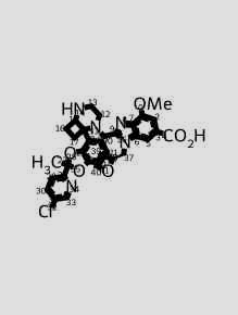 COc1cc(C(=O)O)cc2c1nc(CN1CCNC3CCC31c1cccc3c1OC(C)(c1ccc(Cl)cn1)O3)n2C[C@@H]1CCO1